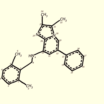 Cc1cccc(C)c1CNc1cc(-c2ccccc2)cn2c(C)c(C)nc12